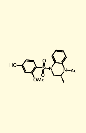 COc1cc(O)ccc1S(=O)(=O)N1C[C@H](C)N(C(C)=O)c2ccccc21